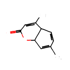 CC1=CC(=O)OC2C=C(C#N)C=CC12